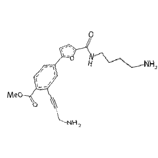 COC(=O)c1ccc(-c2ccc(C(=O)NCCCCN)o2)cc1C#CCN